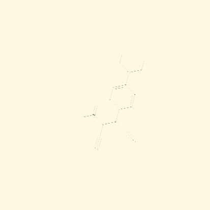 CCN(CC)c1ccc(C(C#N)C(C#N)C(=O)O)cc1